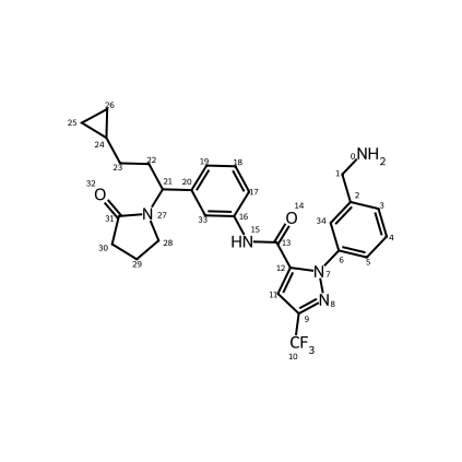 NCc1cccc(-n2nc(C(F)(F)F)cc2C(=O)Nc2cccc(C(CCC3CC3)N3CCCC3=O)c2)c1